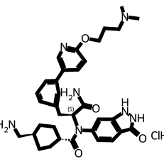 CN(C)CCCOc1ccc(-c2cccc(C[C@@H](C(N)=O)N(c3ccc4c(=O)[nH][nH]c4c3)C(=O)[C@H]3CC[C@H](CN)CC3)c2)cn1.Cl